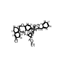 CCOC[C@@H]1CC[C@H]1CN1C[C@@]2(CCCc3cc(Cl)ccc32)COc2ccc(S(=O)(=O)NC(=O)Cc3ccccc3)cc21